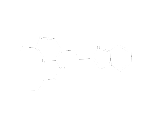 CCCC(C)Nc1nc(N)ncc1OCc1cn2ccccc2n1